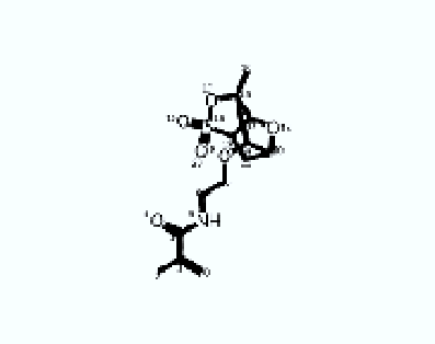 C=C(C)C(=O)NCCOC1C2CC3C(O2)C1(C)OS3(=O)=O